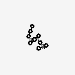 c1ccc(-c2ccc(-c3cccc(-n4c5ccccc5c5cc6c(cc54)c4ccccc4n6-c4ccc(-n5c(-c6ccccc6)nc6ccccc65)cc4)c3)cc2)cc1